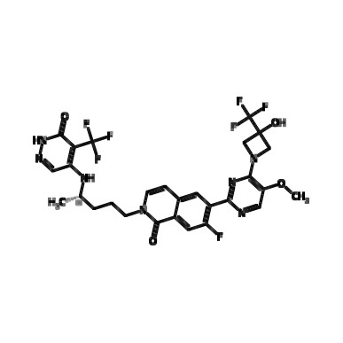 COc1cnc(-c2cc3ccn(CCC[C@H](C)Nc4cn[nH]c(=O)c4C(F)(F)F)c(=O)c3cc2F)nc1N1CC(O)(C(F)(F)F)C1